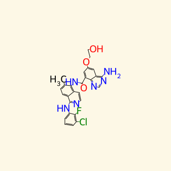 Cc1ccc2c(Nc3cccc(Cl)c3F)nccc2c1NC(=O)c1cc(OCCO)cc2c(N)ncnc12